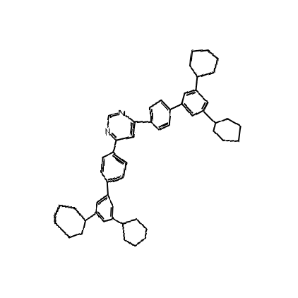 c1nc(-c2ccc(-c3cc(C4CCCCC4)cc(C4CCCCC4)c3)cc2)cc(-c2ccc(-c3cc(C4CCCCC4)cc(C4CCCCC4)c3)cc2)n1